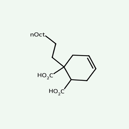 CCCCCCCCCCC1(C(=O)O)CC=CCC1C(=O)O